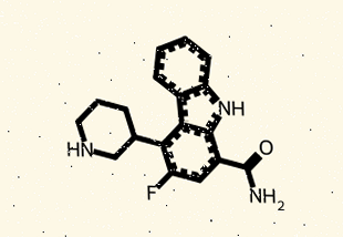 NC(=O)c1cc(F)c(C2CCCNC2)c2c1[nH]c1ccccc12